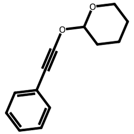 C(#Cc1ccccc1)OC1CCCCO1